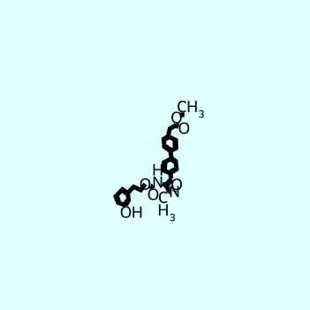 CCOC(=O)Cc1ccc(-c2ccc(-c3onc(C)c3NC(=O)OCCc3cccc(O)c3)cc2)cc1